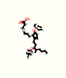 CCCCC(C)C(CCC1=CCC(O[Si](CC)(CC)CC)[C@@H]1CCC=C=CCC(=O)O)O[Si](C)(C)C(C)(C)C